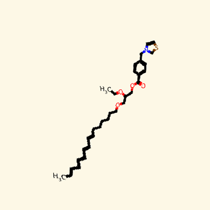 CCCCCCCCCCCCCCCCOCC(COC(=O)c1ccc(CN2C=CSC2)cc1)OCC